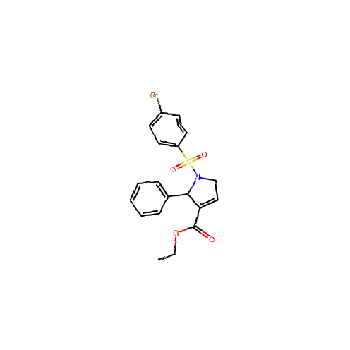 CCOC(=O)C1=CCN(S(=O)(=O)c2ccc(Br)cc2)C1c1ccccc1